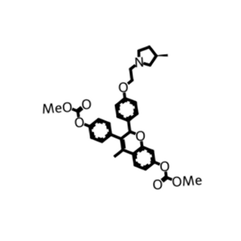 COC(=O)Oc1ccc(C2=C(C)c3ccc(OC(=O)OC)cc3OC2c2ccc(OCCN3CC[C@@H](C)C3)cc2)cc1